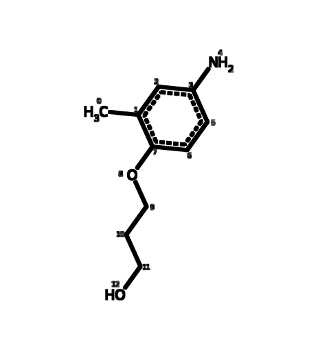 Cc1cc(N)ccc1OCCCO